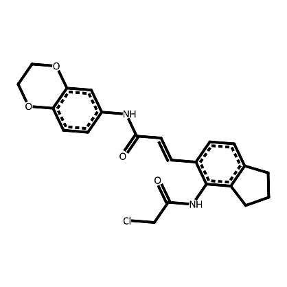 O=C(/C=C/c1ccc2c(c1NC(=O)CCl)CCC2)Nc1ccc2c(c1)OCCO2